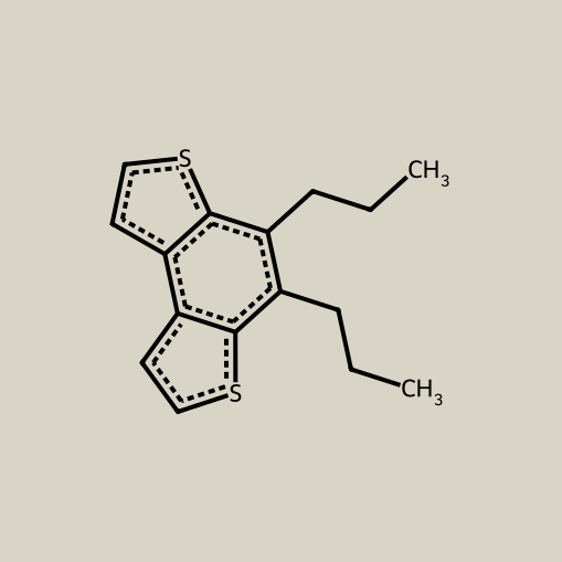 CCCc1c(CCC)c2sccc2c2ccsc12